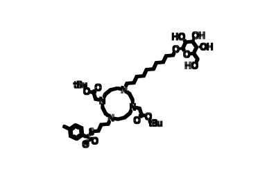 Cc1ccc(S(=O)(=O)SCCCN2CCCN(CC(=O)OC(C)(C)C)CCN(CCCCCCCCCCO[C@@H]3OC(CO)[C@@H](O)[C@H](O)C3O)CCCN(CC(=O)OC(C)(C)C)CC2)cc1